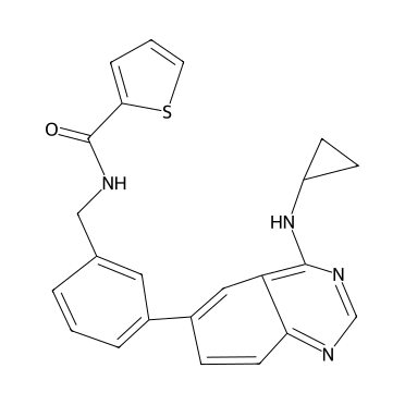 O=C(NCc1cccc(-c2ccc3ncnc(NC4CC4)c3c2)c1)c1cccs1